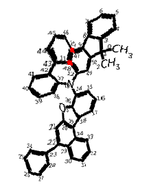 CC1(C)c2ccccc2-c2ccc(N(C3=CC=CC4c5c(cc(-c6ccccc6)c6ccccc56)OC34)c3ccccc3-c3ccccc3)cc21